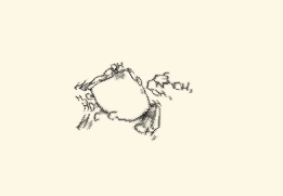 CC(=Cc1csc(C)n1)[C@@H]1C[C@@H]2O[C@]2(C)CCC[C@H](C)[C@H](O)[C@@H](C)C(=O)C(C)(C)[C@@H](O)CCO1